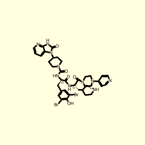 O=C(N[C@@H](CC1CCNCC1)C(=O)N1CCN(c2ccncc2)CC1)[C@@H](Cc1cc(Br)c(O)c(Br)c1)NC(=O)N1CCC(n2c(=O)[nH]c3ncccc32)CC1